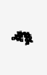 COC(=O)C(C)Oc1ccc(Oc2ccc3cc(Cl)cc(Cl)c3n2)cc1